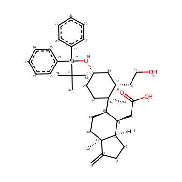 C=C1CC[C@@H]2[C@H](CC(=O)O)[C@H]([C@@]3(C)CC[C@H](O[Si](c4ccccc4)(c4ccccc4)C(C)(C)C)C[C@@H]3CCO)CC[C@]12C